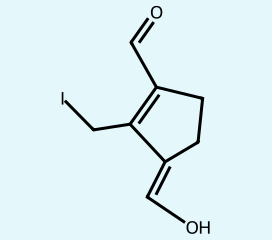 O=CC1=C(CI)/C(=C/O)CC1